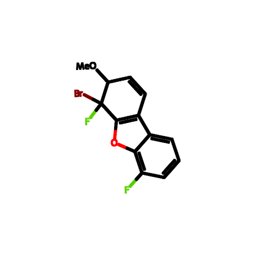 COC1C=Cc2c(oc3c(F)cccc23)C1(F)Br